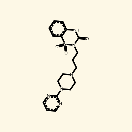 O=C1Nc2ccccc2S(=O)(=O)N1CCCN1CCN(c2ncccn2)CC1